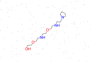 OCCOCCNCCOCCNCCN1CCCC1